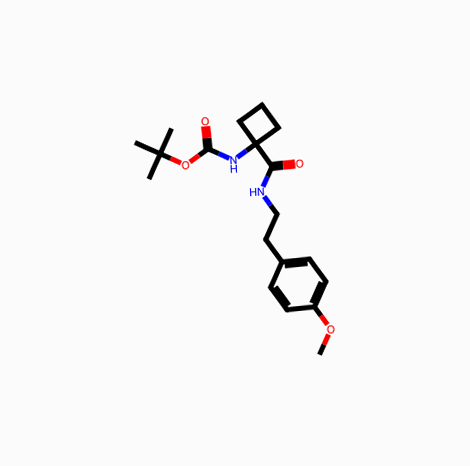 COc1ccc(CCNC(=O)C2(NC(=O)OC(C)(C)C)CCC2)cc1